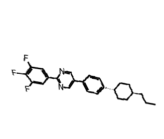 CCC[C@H]1CC[C@H](c2ccc(-c3cnc(-c4cc(F)c(F)c(F)c4)nc3)cc2)CC1